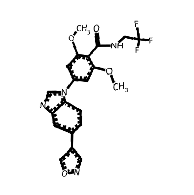 COc1cc(-n2cnc3cc(-c4cnoc4)ccc32)cc(OC)c1C(=O)NCC(F)(F)F